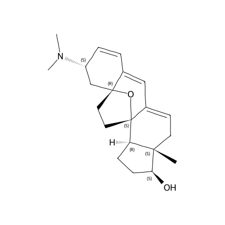 CN(C)[C@@H]1C=CC2=CC3=CC[C@@]4(C)[C@@H](CC[C@@H]4O)[C@@]34CC[C@]2(C1)O4